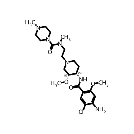 COc1cc(N)c(Cl)cc1C(=O)N[C@H]1CCN(CCN(C)C(=O)N2CCN(C)CC2)C[C@H]1OC